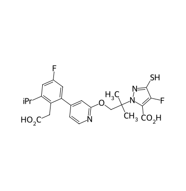 CC(C)c1cc(F)cc(-c2ccnc(OCC(C)(C)n3nc(S)c(F)c3C(=O)O)c2)c1CC(=O)O